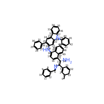 CC1C=C(C(/N=C/c2ccccc2)[C@@H](N)c2ccc(Nc3cc4c(cc3-c3ccccc3)c3ccccc3n4-c3ccccc3)c3ccccc23)C=CC1